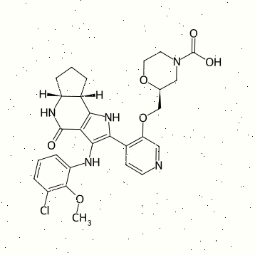 COc1c(Cl)cccc1Nc1c(-c2ccncc2OC[C@@H]2CN(C(=O)O)CCO2)[nH]c2c1C(=O)N[C@@H]1CCC[C@H]21